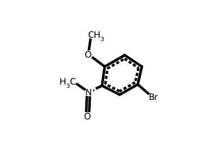 COc1ccc(Br)cc1[N+](C)=O